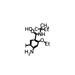 CCOc1cc(N)c(I)cc1C(=O)N[C@](C)(CC)C(=O)O